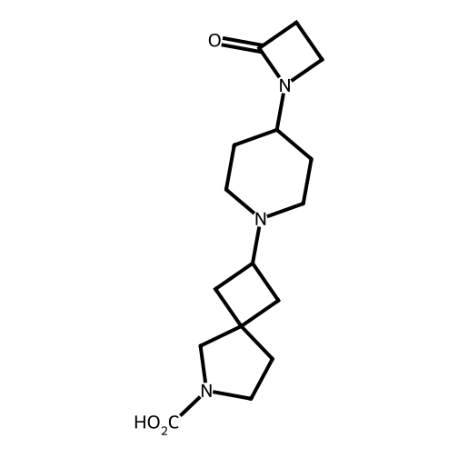 O=C(O)N1CCC2(CC(N3CCC(N4CCC4=O)CC3)C2)C1